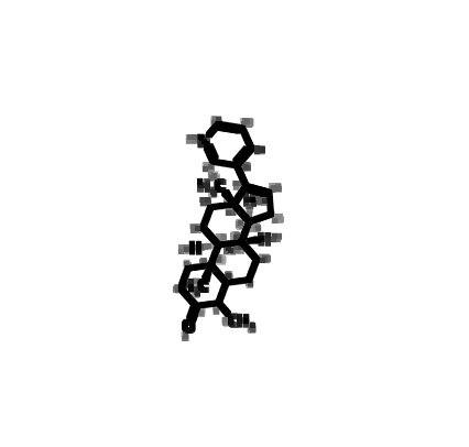 CC1C(=O)CC[C@@]2(C)C1CC[C@@H]1[C@@H]2CC[C@]2(C)C(c3cccnc3)=CC[C@@H]12